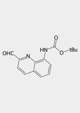 CC(C)(C)OC(=O)Nc1cccc2ccc(C=O)nc12